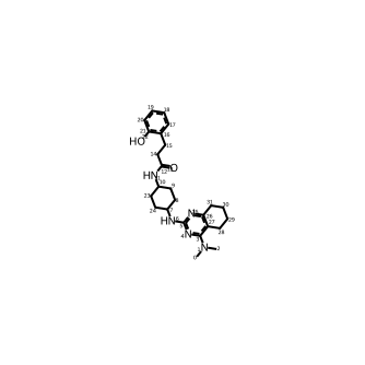 CN(C)c1nc(NC2CCC(NC(=O)CCc3ccccc3O)CC2)nc2c1CCCC2